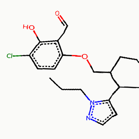 CCCn1nccc1C1CCCCC1COc1ccc(Cl)c(O)c1C=O